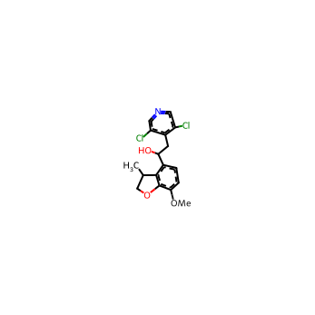 COc1ccc(C(O)Cc2c(Cl)cncc2Cl)c2c1OCC2C